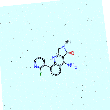 CCCN1Cc2nc3c(-c4cccnc4F)cccc3c(N)c2C1=O